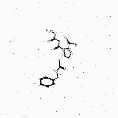 COC(=O)CC(=O)N1[C@@H](CC(=O)OCc2ccccc2)CC[C@H]1C(=O)O